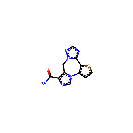 NC(=O)c1ncn2c1Cn1ncnc1-c1sccc1-2